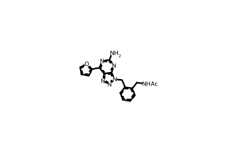 CC(=O)NCc1ccccc1Cn1nnc2c(-c3ccco3)nc(N)nc21